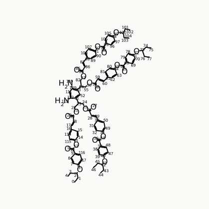 CCC(CC)Oc1ccc(C(=O)Oc2ccc(/C=C/C(=O)OCC(COC(=O)/C=C/c3ccc(OC(=O)c4ccc(OC(CC)CC)cc4)cc3)c3cc(C(COC(=O)/C=C/c4ccc(OC(=O)c5ccc(OC(CC)CC)cc5)cc4)COC(=O)/C=C/c4ccc(OC(=O)c5ccc(OC(CC)CC)cc5)cc4)c(N)cc3N)cc2)cc1